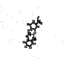 CN(C)c1ccc(CN2C=c3ccccc3=NC2)cc1